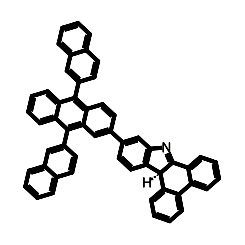 c1ccc2c(c1)C1=Nc3cc(-c4ccc5c(-c6ccc7ccccc7c6)c6ccccc6c(-c6ccc7ccccc7c6)c5c4)ccc3[C@@H]1c1ccccc1-2